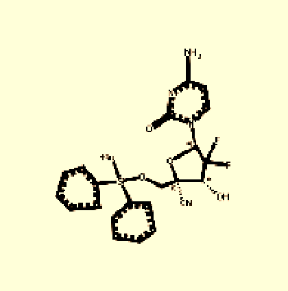 CC(C)(C)[Si](OC[C@@]1(C#N)O[C@@H](n2ccc(N)nc2=O)C(F)(F)[C@@H]1O)(c1ccccc1)c1ccccc1